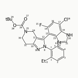 CCc1cccc(CC)c1-n1nc2c(c1-c1c(F)cc(Cl)c3[nH]ccc13)CN(C(=O)OC(C)(C)C)CC2